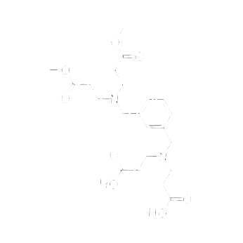 COC(=O)CCN(CCC(=O)OC)Cc1cccc(CN(CCC(=O)O)CCC(=O)O)c1